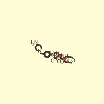 CC(C)(N)C(=O)C1CC2COCC(C1)N2C(=O)Nc1ccn(-c2ccc(CN3CCC(N)CC3)cc2)c(=O)n1